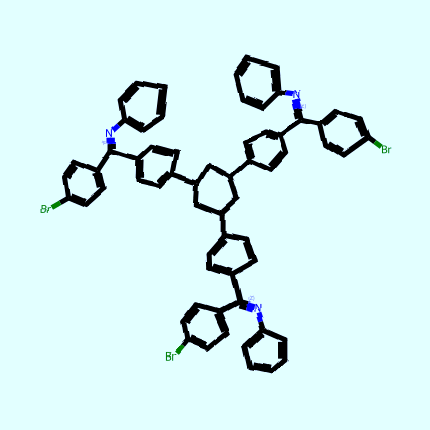 Brc1ccc(/C(=N\c2ccccc2)c2ccc(C3CC(c4ccc(/C(=N\c5ccccc5)c5ccc(Br)cc5)cc4)CC(c4ccc(/C(=N\c5ccccc5)c5ccc(Br)cc5)cc4)C3)cc2)cc1